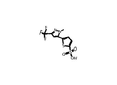 Cn1nc(C(F)(F)F)cc1-c1ccc(S(=O)(=O)O)s1